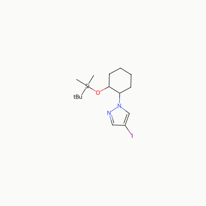 CC(C)(C)[Si](C)(C)OC1CCCCC1n1cc(I)cn1